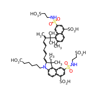 C=C(/C=C/C=C/C=C1/N(CCCCCC(=O)O)c2ccc3c(S(=O)(=O)O)cc(S(=O)(=O)NCCS(=O)(=O)O)cc3c2C1(C)C)C(C)(C)c1c(C)ccc2c(S(=O)(=O)O)cc(S(=O)(=O)NCCS(=O)(=O)O)cc12